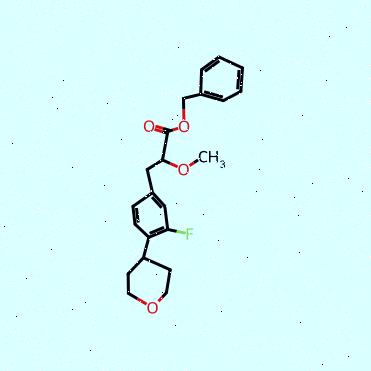 COC(Cc1ccc(C2CCOCC2)c(F)c1)C(=O)OCc1ccccc1